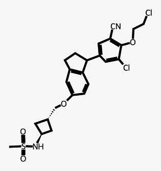 CS(=O)(=O)N[C@H]1C[C@H](COc2ccc3c(c2)CCC3c2cc(Cl)c(OCCCl)c(C#N)c2)C1